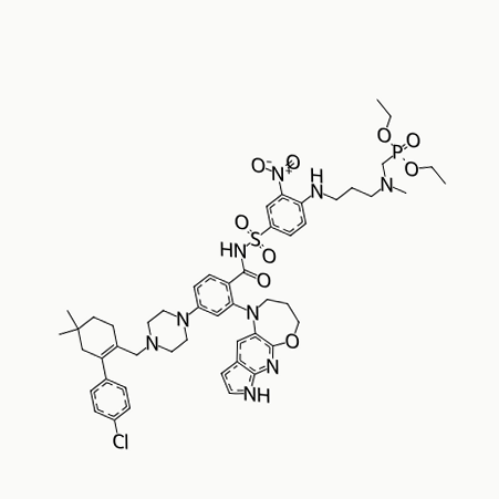 CCOP(=O)(CN(C)CCCNc1ccc(S(=O)(=O)NC(=O)c2ccc(N3CCN(CC4=C(c5ccc(Cl)cc5)CC(C)(C)CC4)CC3)cc2N2CCCOc3nc4[nH]ccc4cc32)cc1[N+](=O)[O-])OCC